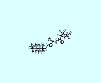 CCC(C)(C)CC(C)(C(=O)OCC(=O)OCCC(F)(F)C(F)(F)C(F)(F)C(F)(F)F)C(C)(C)C